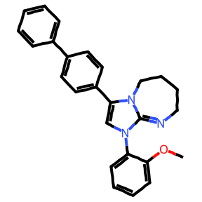 COc1ccccc1N1C=C(c2ccc(-c3ccccc3)cc2)N2CCCCN=C21